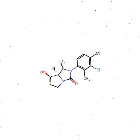 Cc1c(N2C(=O)N3CC[C@@H](O)[C@H]3[C@H]2C(F)(F)F)ccc(C#N)c1Cl